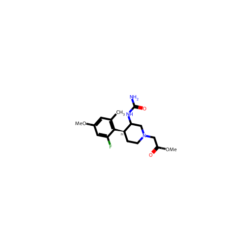 COC(=O)CN1CC[C@@H](c2c(C)cc(OC)cc2F)C(NC(N)=O)C1